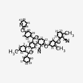 Cc1ccc(-c2ccc(-c3cccc(Oc4ccc(Oc5cccc(C)c5C#N)c(C)c4)c3C#N)c(C(=O)c3ccc(Oc4ccccn4)cc3)c2)c(C(=O)c2ccccc2)c1